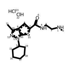 CNCCNC(=O)c1cc2c(C)nn(C3CCCCC3)c2s1.Cl.Cl